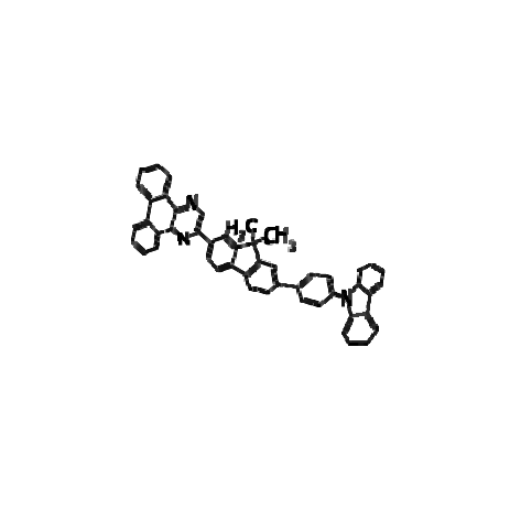 CC1(C)c2cc(-c3ccc(-n4c5ccccc5c5ccccc54)cc3)ccc2-c2ccc(-c3cnc4c5ccccc5c5ccccc5c4n3)cc21